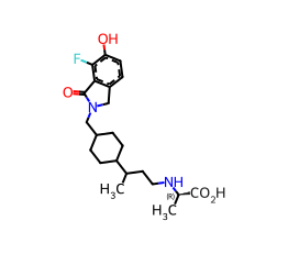 CC(CCN[C@H](C)C(=O)O)C1CCC(CN2Cc3ccc(O)c(F)c3C2=O)CC1